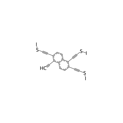 C#Cc1c(C#CSI)ccc2c(C#CSI)c(C#CSI)ccc12